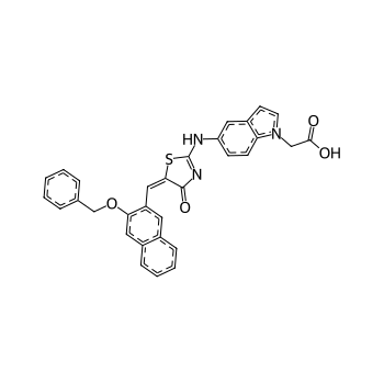 O=C(O)Cn1ccc2cc(NC3=NC(=O)C(=Cc4cc5ccccc5cc4OCc4ccccc4)S3)ccc21